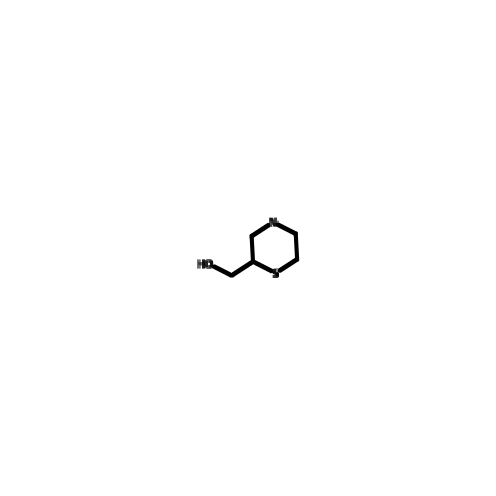 OCC1C[N]CCS1